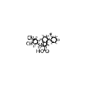 O=C(O)c1cc2c(-c3ccccc3F)cccc2n1Cc1ccc(Cl)c(Cl)c1